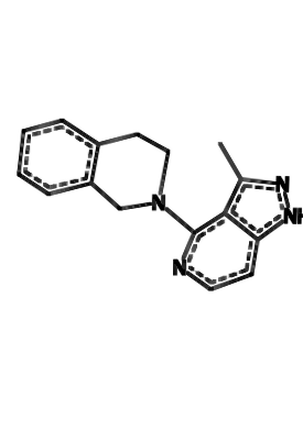 Cc1n[nH]c2ccnc(N3CCc4ccccc4C3)c12